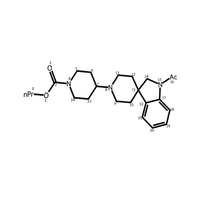 CCCOC(=O)N1CCC(N2CCC3(CC2)CN(C(C)=O)c2ccccc23)CC1